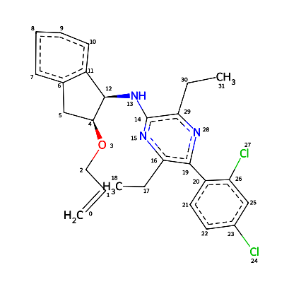 C=CCO[C@H]1Cc2ccccc2[C@H]1Nc1nc(CC)c(-c2ccc(Cl)cc2Cl)nc1CC